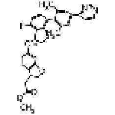 COC(=O)CC1COc2cc(O[C@@H]3CCc4c(-c5c(C)cc(-c6ccncn6)cc5C)ccc(F)c43)ccc21